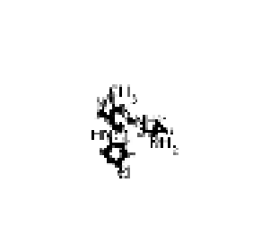 Cn1ncc2c(Nc3ccc(Cl)cc3F)nc(NCC3(N)CC3)nc21